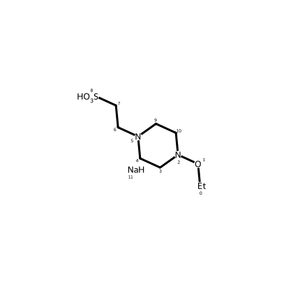 CCON1CCN(CCS(=O)(=O)O)CC1.[NaH]